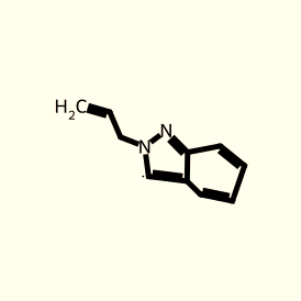 C=CCn1[c]c2ccccc2n1